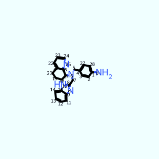 Nc1ccc(CN(Cc2nc3ccccc3[nH]2)C2CCCc3cccnc32)cc1